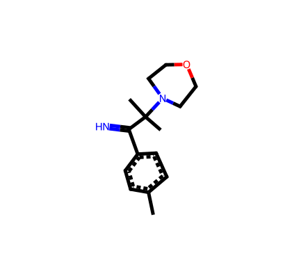 Cc1ccc(C(=N)C(C)(C)N2CCOCC2)cc1